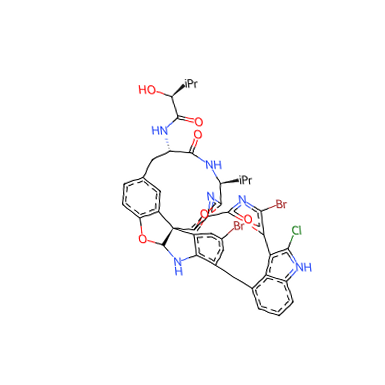 CC(C)[C@H](O)C(=O)N[C@H]1Cc2ccc3c(c2)[C@]24c5cc(Br)cc(c5NC2O3)-c2cccc3[nH]c(Cl)c(c23)-c2oc(nc2Br)-c2nc(oc24)[C@H](C(C)C)NC1=O